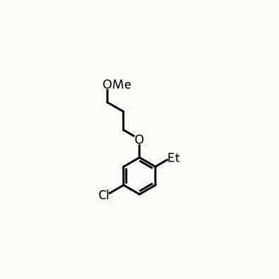 [CH2-][CH+]c1ccc(Cl)cc1OCCCOC